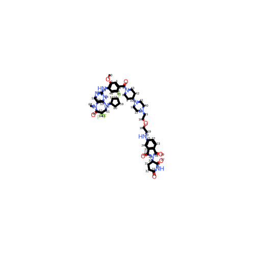 COc1cc(C(=O)N2CCC(N3CCN(CCOCCNc4ccc5c(c4)C(=O)N(C4CCC(=O)NC4=O)C5=O)CC3)CC2)c(F)cc1Nc1ncc2c(n1)N(C1CCCC1)CC(F)(F)C(=O)N2C